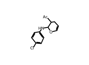 CC(=O)C1CC=COC1Nc1ccc(Cl)cc1